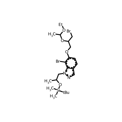 CCOC(C)OC(CBr)COc1ccc2cnn(CC(C)O[Si](C)(C)C(C)(C)C)c2c1Br